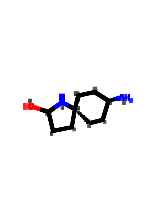 N[C@H]1CC[C@@]2(CCC(O)N2)CC1